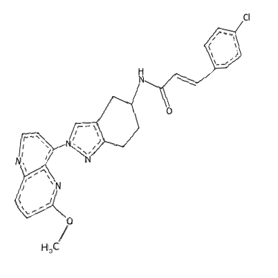 COc1ccc2nccc(-n3cc4c(n3)CCC(NC(=O)C=Cc3ccc(Cl)cc3)C4)c2n1